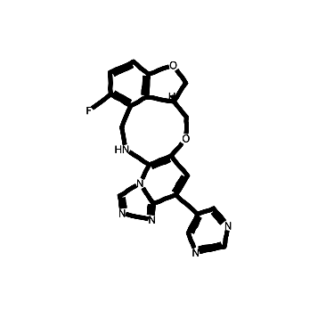 Fc1ccc2c3c1CNc1c(cc(-c4cncnc4)c4nncn14)OC[C@@H]3CO2